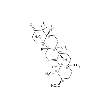 C[C@@H]1[C@H]2C3=CC[C@@H]4[C@@]5(C)CCC(=O)C(C)(C)[C@@H]5CC[C@@]4(C)[C@]3(C)CC[C@@]2(C)CC[C@H]1C(=O)O